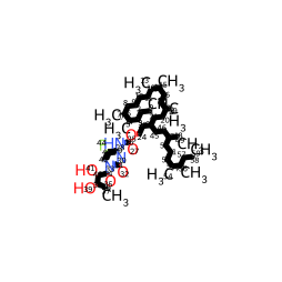 CCCCC(C)[C@H](C)CCCCC(C)[C@H](C)CCC(C)CCC(CCOC(=O)Nc1nc(=O)n(C2OC(C)C(O)C2O)cc1F)CCC(CC)CCCC(C)[C@H](C)CCC